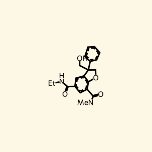 CCNC(=O)c1cc(C(=O)NC)c2c(c1)C(CO)(c1ccccc1)CO2